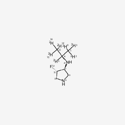 [2H]C([2H])([2H])C([2H])(N[C@H]1CNC[C@@H]1F)C([2H])([2H])[2H]